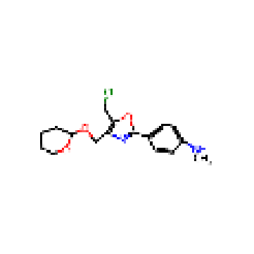 CNc1ccc(-c2nc(COC3CCCCO3)c(CCl)o2)cc1